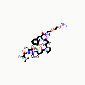 CC[C@H](C)[C@@H]([C@@H](CC(=O)N1CCC[C@H]1[C@H](OC)[C@@H](C)C(=O)N[C@@H](Cc1ccccc1)C(=O)NCCOCCON)OC)N(C)C(=O)[C@@H](NC(=O)[C@H](C(C)C)N(C)C)C(C)C